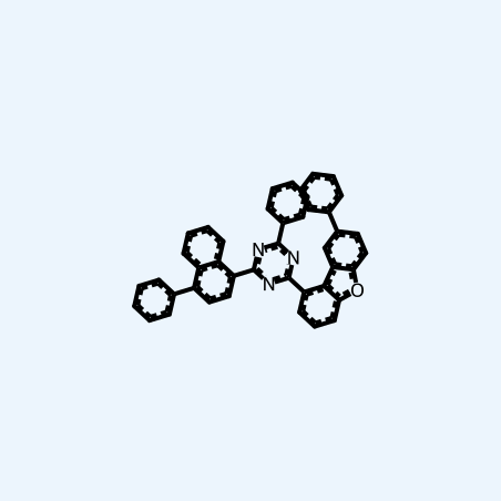 c1ccc(-c2ccc3oc4cccc(-c5nc(-c6ccccc6)nc(-c6ccc(-c7ccccc7)c7ccccc67)n5)c4c3c2)cc1